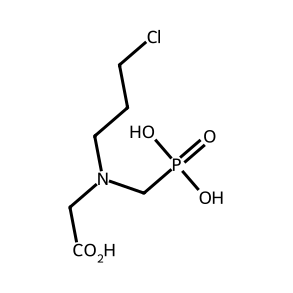 O=C(O)CN(CCCCl)CP(=O)(O)O